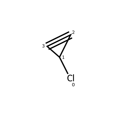 ClC1C#C1